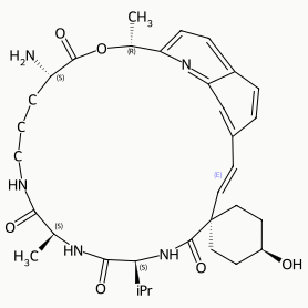 CC(C)[C@@H]1NC(=O)[C@]2(/C=C/c3ccc4ccc(nc4c3)[C@@H](C)OC(=O)[C@@H](N)CCCNC(=O)[C@H](C)NC1=O)CC[C@H](O)CC2